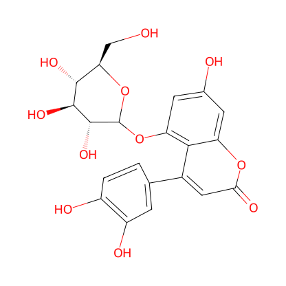 O=c1cc(-c2ccc(O)c(O)c2)c2c(OC3O[C@H](CO)[C@@H](O)[C@H](O)[C@H]3O)cc(O)cc2o1